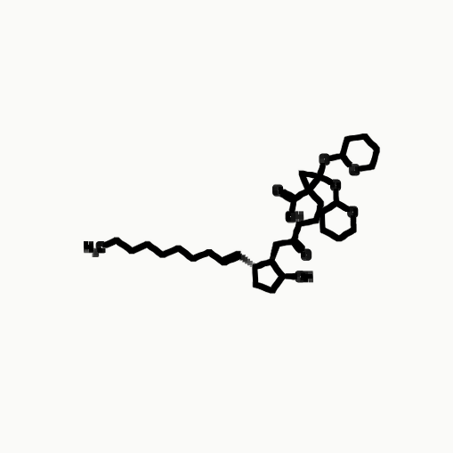 CCCCCCCC/C=C/[C@H]1CC[C@H](O)[C@@H]1CC(=O)CCCC1(C(=O)O)CC1(OC1CCCCO1)OC1CCCCO1